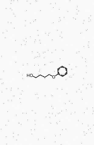 OCC[CH]COc1ccccc1